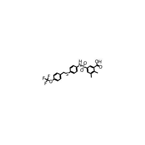 Cc1cc(S(=O)(=O)Nc2ccc(SCc3ccc(OC(F)(F)F)cc3)cc2)cc(C(=O)O)c1C